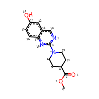 COC(=O)C1CCN(c2ncc3cc(O)ccc3n2)CC1